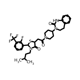 CC(C)CCN1C(=O)C(CC(=O)N2CCC(N3CCc4ccccc4NC3=O)CC2)SC1c1cccc(C(F)(F)F)c1F